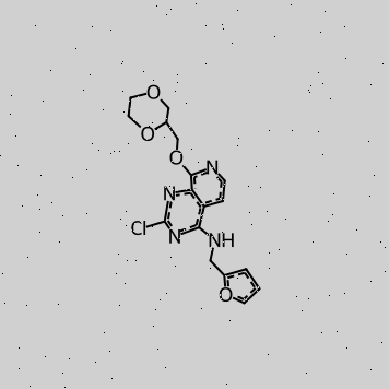 Clc1nc(NCc2ccco2)c2ccnc(OCC3COCCO3)c2n1